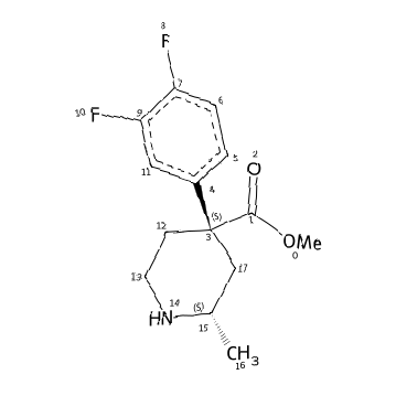 COC(=O)[C@@]1(c2ccc(F)c(F)c2)CCN[C@@H](C)C1